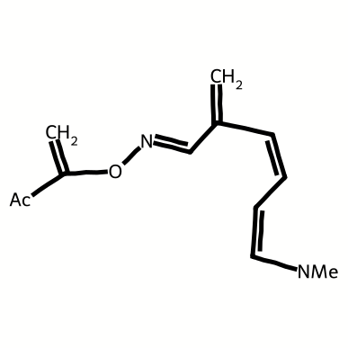 C=C(/C=C\C=C/NC)/C=N/OC(=C)C(C)=O